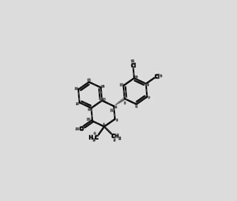 CC1(C)C[C@@H](c2ccc(Cl)c(Cl)c2)c2ccccc2C1=O